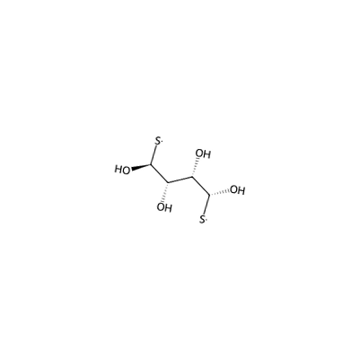 O[C@@H]([C@H](O)[C@@H](O)[S])[C@H](O)[S]